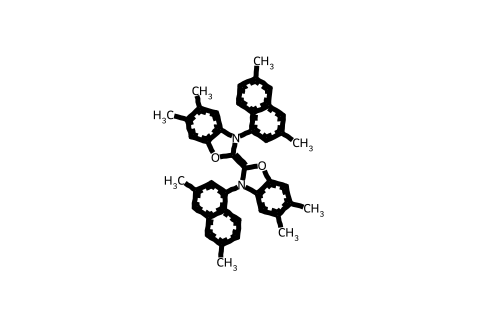 Cc1ccc2c(N3/C(=C4\Oc5cc(C)c(C)cc5N4c4cc(C)cc5cc(C)ccc45)Oc4cc(C)c(C)cc43)cc(C)cc2c1